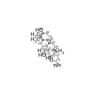 CCC[C@H]1CCC2[C@H](O1)[C@H](O)[C@@]1(C)C3CCC4C(C)(C)[C@@H](O)CC[C@@]45C[C@@]35CC[C@]21C